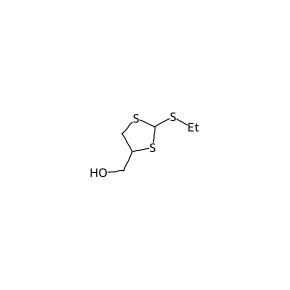 CCSC1SCC(CO)S1